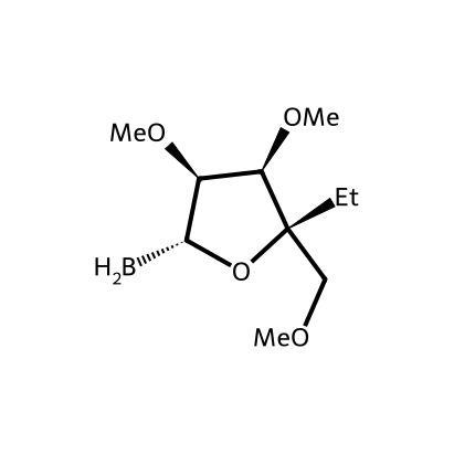 B[C@H]1O[C@@](CC)(COC)[C@H](OC)[C@@H]1OC